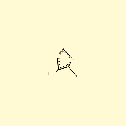 Cc1ncsc1O